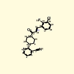 N#Cc1cccnc1N1CCN(C(=O)/C=C/c2cccc(Cl)c2F)CC1